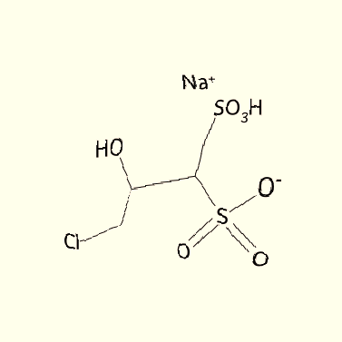 O=S(=O)([O-])C(C(O)CCl)S(=O)(=O)O.[Na+]